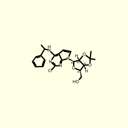 CC(Nc1nc(Cl)nc2c1ccn2[C@@H]1O[C@H](CO)[C@H]2OC(C)(C)O[C@H]21)c1ccccc1